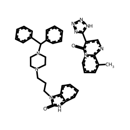 Cc1cccn2c(=O)c(-c3nnn[nH]3)cnc12.O=c1[nH]c2ccccc2n1CCCN1CCN(C(c2ccccc2)c2ccccc2)CC1